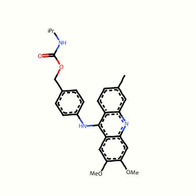 COc1cc2nc3cc(C)ccc3c(Nc3ccc(COC(=O)NC(C)C)cc3)c2cc1OC